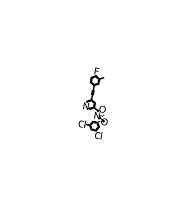 Cc1cc(C#Cc2cncc(C(=O)N=S(C)(=O)c3cc(Cl)cc(Cl)c3)c2)ccc1F